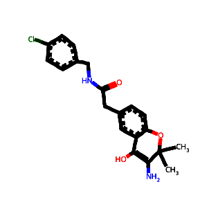 CC1(C)Oc2ccc(CC(=O)NCc3ccc(Cl)cc3)cc2C(O)=C1N